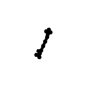 C1=C(/C=C/c2ccc(/C=C/c3ccc(/C=C/c4ccc5c(c4)C4(CCCC4)c4cc(N(c6ccccc6)c6ccccc6)ccc4-5)cc3)cc2)CCC(c2ccc(C(c3ccccc3)(c3ccccc3)c3ccccc3)cc2)=C1